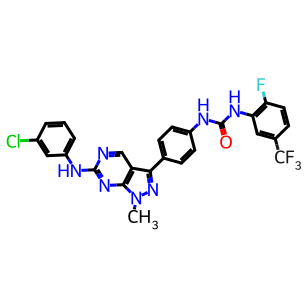 Cn1nc(-c2ccc(NC(=O)Nc3cc(C(F)(F)F)ccc3F)cc2)c2cnc(Nc3cccc(Cl)c3)nc21